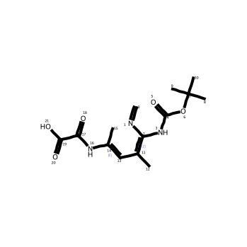 C=N/C(NC(=O)OC(C)(C)C)=C(C)\C=C(/C)NC(=O)C(=O)O